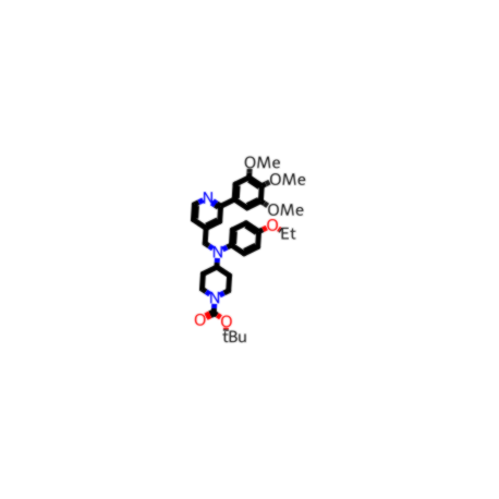 CCOc1ccc(N(Cc2ccnc(-c3cc(OC)c(OC)c(OC)c3)c2)C2CCN(C(=O)OC(C)(C)C)CC2)cc1